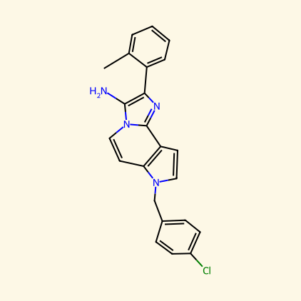 Cc1ccccc1-c1nc2c3ccn(Cc4ccc(Cl)cc4)c3ccn2c1N